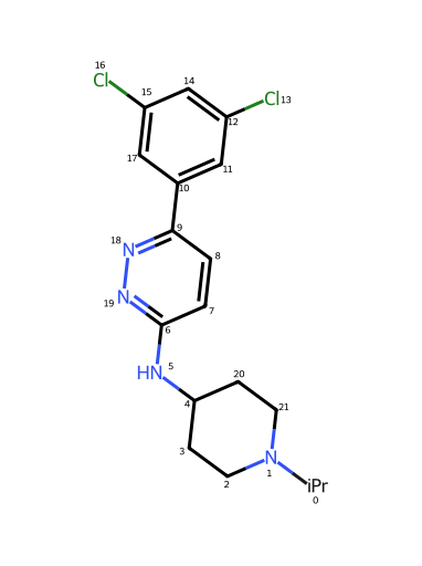 CC(C)N1CCC(Nc2ccc(-c3cc(Cl)cc(Cl)c3)nn2)CC1